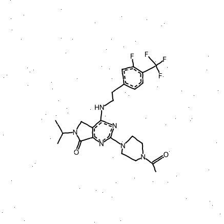 CC(=O)N1CCN(c2nc(NCCc3ccc(C(F)(F)F)c(F)c3)c3c(n2)C(=O)N(C(C)C)C3)CC1